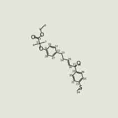 CCOC(=O)C(C)(C)Oc1ccc(CC/C=C/C(=O)c2ccc(SC)cc2)cc1